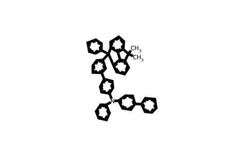 CC1(C)c2cccc3c2-c2c1cccc2C3(c1ccccc1)c1cccc(-c2ccc(N(c3ccccc3)c3ccc(-c4ccccc4)cc3)cc2)c1